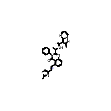 Cc1nc(/C=C/c2cccc3nc(C(C)NC(=O)c4c(C)nn5cccnc45)n(-c4ccccc4)c(=O)c23)cs1